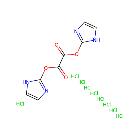 Cl.Cl.Cl.Cl.Cl.Cl.Cl.Cl.Cl.O=C(Oc1ncc[nH]1)C(=O)Oc1ncc[nH]1